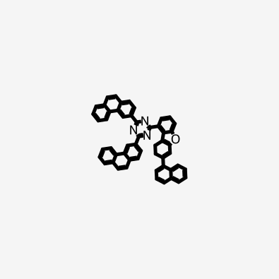 C1=C(c2cccc3ccccc23)CCc2c1oc1cccc(-c3nc(-c4ccc5ccc6ccccc6c5c4)nc(-c4ccc5ccc6ccccc6c5c4)n3)c21